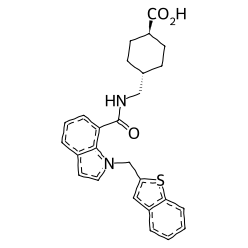 O=C(NC[C@H]1CC[C@H](C(=O)O)CC1)c1cccc2ccn(Cc3cc4ccccc4s3)c12